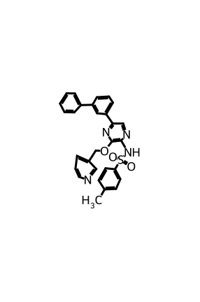 Cc1ccc(S(=O)(=O)Nc2ncc(-c3cccc(-c4ccccc4)c3)nc2OCc2cccnc2)cc1